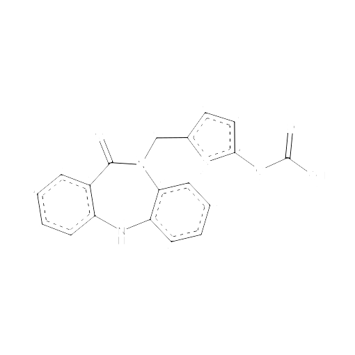 O=C(O)Oc1ccc(CN2C(=O)c3ccccc3Nc3ccccc32)s1